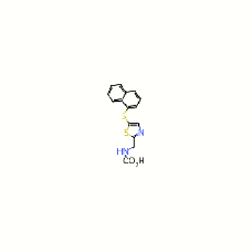 O=C(O)NCc1ncc(Sc2cccc3ccccc23)s1